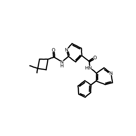 CC1(C)CC(C(=O)Nc2cc(C(=O)Nc3cnccc3-c3ccccc3)ccn2)C1